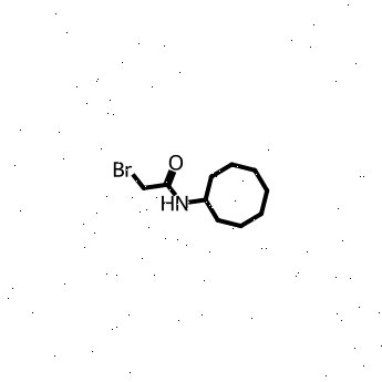 O=C(CBr)NC1CCCCCCC1